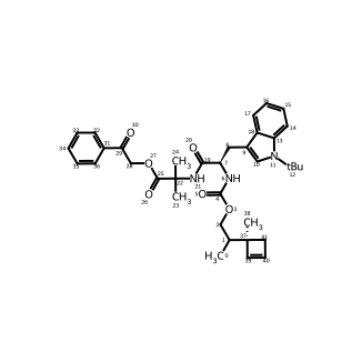 CC(COC(=O)N[C@H](Cc1cn(C(C)(C)C)c2ccccc12)C(=O)NC(C)(C)C(=O)OCC(=O)c1ccccc1)[C@]1(C)C=CC1